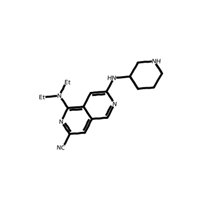 CCN(CC)c1nc(C#N)cc2cnc(NC3CCCNC3)cc12